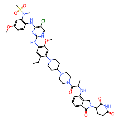 CCc1cc(Nc2ncc(Cl)c(Nc3ccc(OC)cc3N(C)S(C)(=O)=O)n2)c(OC)cc1N1CCC(N2CCN(C(=O)C(C)Nc3cccc4c3CN(C3CCC(=O)NC3=O)C4=O)CC2)CC1